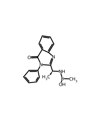 CB(O)N[C@@H](C)c1nc2ccccc2c(=O)n1-c1ccccc1